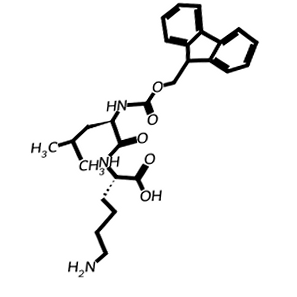 CC(C)C[C@@H](NC(=O)OCC1c2ccccc2-c2ccccc21)C(=O)N[C@@H](CCCCN)C(=O)O